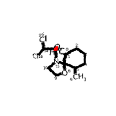 CC1CCCC(C)C12OCCN2C(=O)C(Cl)Cl